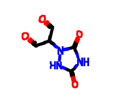 O=CC(C=O)n1[nH]c(=O)[nH]c1=O